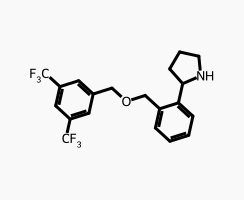 FC(F)(F)c1cc(COCc2ccccc2C2CCCN2)cc(C(F)(F)F)c1